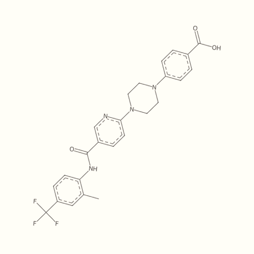 Cc1cc(C(F)(F)F)ccc1NC(=O)c1ccc(N2CCN(c3ccc(C(=O)O)cc3)CC2)nc1